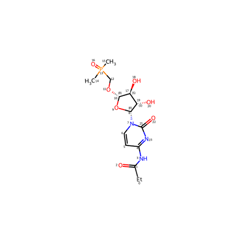 CCC(=O)Nc1ccn([C@@H]2O[C@H](OCP(C)(C)=O)[C@@H](O)[C@@H]2O)c(=O)n1